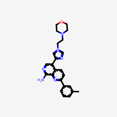 Cc1cccc(-c2ccc3c(-c4cn(CCN5CCOCC5)cn4)cnc(N)c3n2)c1